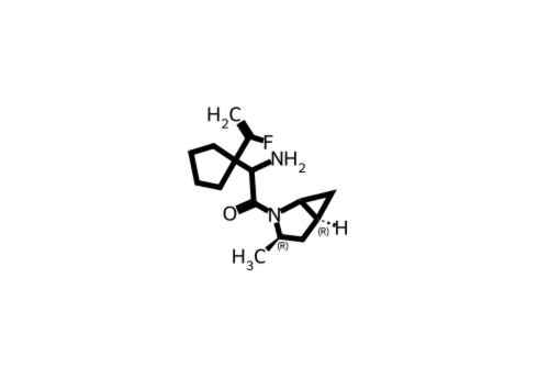 C=C(F)C1(C(N)C(=O)N2C3C[C@H]3C[C@H]2C)CCCC1